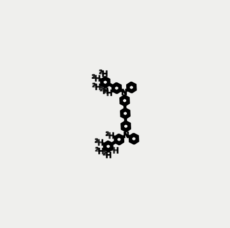 [2H]c1cc(N(c2ccccc2)c2ccc(-c3ccc(-c4ccc(N(c5ccccc5)c5ccc(-c6cc([2H])c([2H])c([2H])c6[2H])c([2H])c5)cc4)cc3)cc2)ccc1-c1cc([2H])c([2H])c([2H])c1[2H]